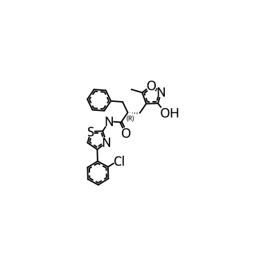 Cc1onc(O)c1C[C@@H](Cc1ccccc1)C(=O)N(C)c1nc(-c2ccccc2Cl)cs1